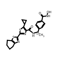 C[C@H](NC(=O)c1nc(-c2nc3c(s2)CCCC3)sc1C1CC1)c1ccc(C(=O)NO)cc1